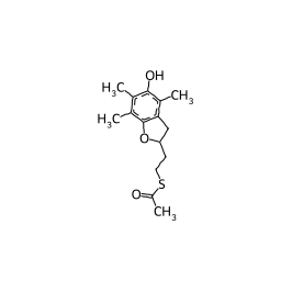 CC(=O)SCCC1Cc2c(C)c(O)c(C)c(C)c2O1